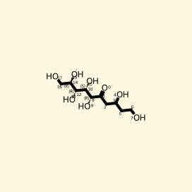 O=C(CC(O)CCO)[C@H](O)[C@@H](O)[C@H](O)[C@H](O)CO